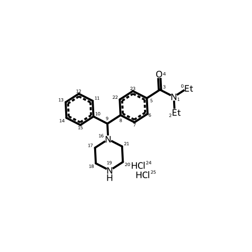 CCN(CC)C(=O)c1ccc(C(c2ccccc2)N2CCNCC2)cc1.Cl.Cl